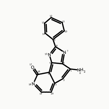 Nc1cc2c(c3c1=NC(c1ccccc1)=N3)C(=O)N=CC=2